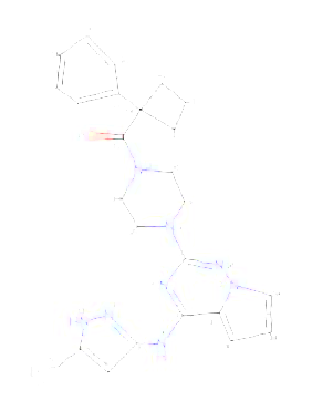 Cc1cc(Nc2nc(N3CCN(C(=O)C4(c5ccccc5)CCC4)CC3)nn3cccc23)n[nH]1